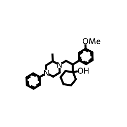 COc1cccc(C(CN2CCN(c3ccccc3)CC2C)C2(O)CCCCC2)c1